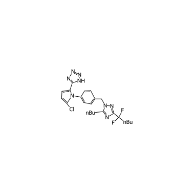 CCCCc1nc(C(F)(F)CCCC)nn1Cc1ccc(-n2c(Cl)ccc2-c2nnn[nH]2)cc1